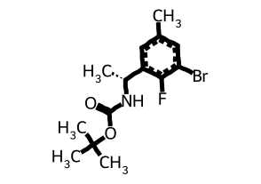 Cc1cc(Br)c(F)c([C@@H](C)NC(=O)OC(C)(C)C)c1